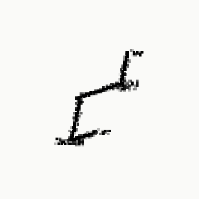 CCCCCCCCCCCCCCCCCCCCCCC(C(=O)O)[C@H](O)CCCCCCCCCCCCCCCCCC1CC1CCCCCCCCCCCCCCCCC(OC)C(C)CCCCCCCCCCCCCCCCCC